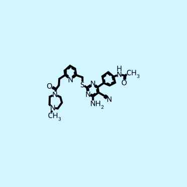 CC(=O)Nc1ccc(-c2nc(SCc3cccc(CCC(=O)N4CCCN(C)CC4)n3)nc(N)c2C#N)cc1